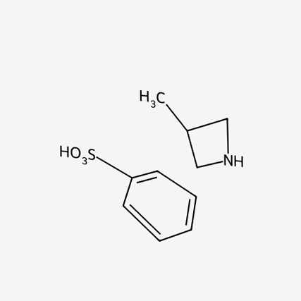 CC1CNC1.O=S(=O)(O)c1ccccc1